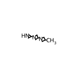 CC1CN(C2CN(C3CNC3)C2)C1